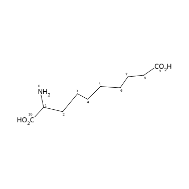 NC(CCCCCCCC(=O)O)C(=O)O